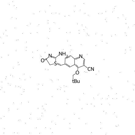 CC(C)(C)COc1c(C#N)cnc2ccc(/C=S3/CC(=O)N=C3N)cc12